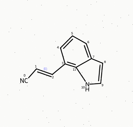 N#C/C=C/c1cccc2cc[nH]c12